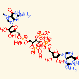 CN1CN([C@@H]2O[C@H](COP(=O)(O)OC[C@H](OP(=O)(O)O)[C@H](COP(=O)(O)OC[C@H]3O[C@@H](n4cnc5c(=O)[nH]c(N)nc54)[C@H](O)[C@@H]3O)OP(=O)(O)O)[C@@H](O)[C@H]2O)c2nc(N)[nH]c(=O)c21